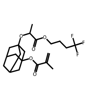 C=C(C)C(=O)OC12CC3CC(C1)CC(OC(C)C(=O)OCCCC(F)(F)F)(C3)C2